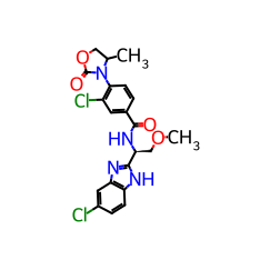 COC[C@H](NC(=O)c1ccc(N2C(=O)OCC2C)c(Cl)c1)c1nc2cc(Cl)ccc2[nH]1